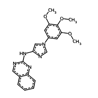 COc1cc(-n2cnc(Nc3ncc4ccccc4n3)c2)cc(OC)c1OC